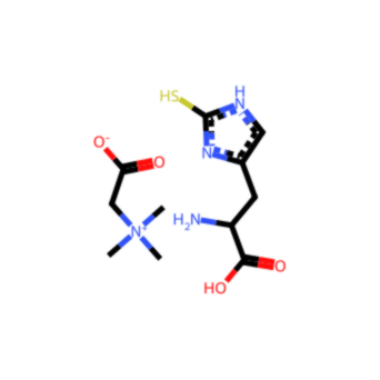 C[N+](C)(C)CC(=O)[O-].NC(Cc1c[nH]c(S)n1)C(=O)O